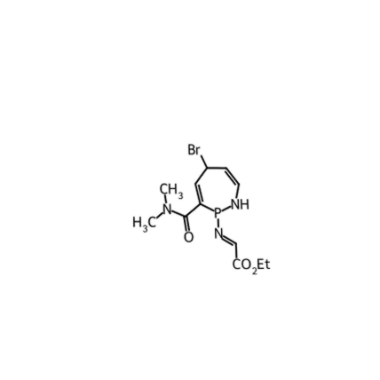 CCOC(=O)/C=N/P1NC=CC(Br)C=C1C(=O)N(C)C